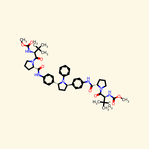 COC(=O)N[C@H](C(=O)N1CCC[C@H]1C(=O)Nc1ccc([C@H]2CC[C@H](c3ccc(NC(=O)[C@@H]4CCCN4C(=O)[C@@H](NC(=O)OC)C(C)(C)C)cc3)N2c2ccccc2)cc1)C(C)(C)C